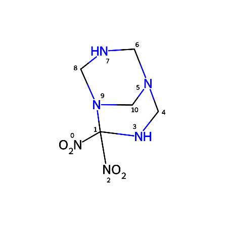 O=[N+]([O-])C1([N+](=O)[O-])NCN2CNCN1C2